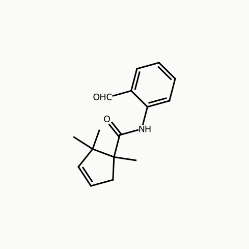 CC1(C)C=CCC1(C)C(=O)Nc1ccccc1C=O